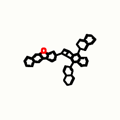 C1=CC2C=C(c3c4c(c(C5C=c6ccccc6=CC5)c5ccccc35)C3=CC(c5ccc6c(c5)oc5cc7ccccc7cc56)C34)C=CC2CC1